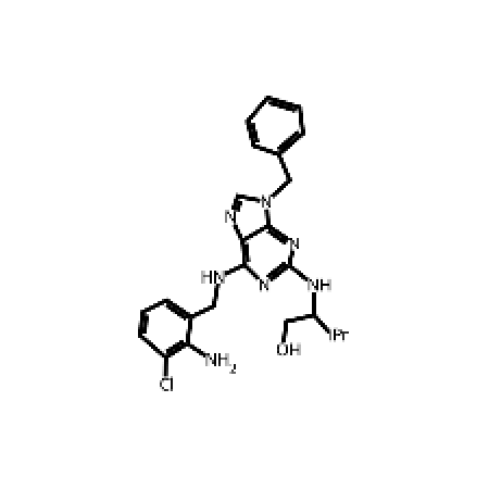 CC(C)C(CO)Nc1nc(NCc2cccc(Cl)c2N)c2ncn(Cc3ccccc3)c2n1